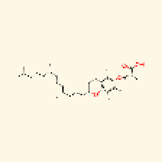 Cc1c(C)c2c(c(C)c1OCC(C)C(=O)O)CC[C@@H](CCC[C@H](C)CCC[C@H](C)CCCC(C)C)O2